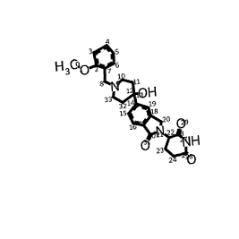 COc1ccccc1CN1CCC(O)(c2ccc3c(c2)CN(C2CCC(=O)NC2=O)C3=O)CC1